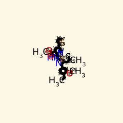 CCc1ccc(-c2nc(Nc3ncc(-c4cccs4)cc3C(=O)OC)sc2CC(C)C)cc1OC